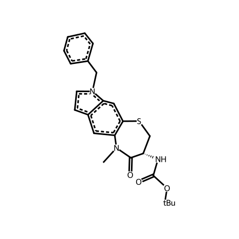 CN1C(=O)[C@@H](NC(=O)OC(C)(C)C)CSc2cc3c(ccn3Cc3ccccc3)cc21